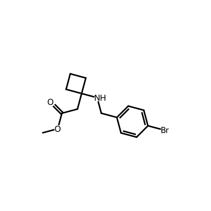 COC(=O)CC1(NCc2ccc(Br)cc2)CCC1